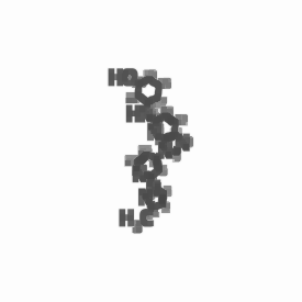 Cc1ccn(-c2cc(-n3cnc4ccc(NC5CCCC(O)C5)nc43)ccn2)n1